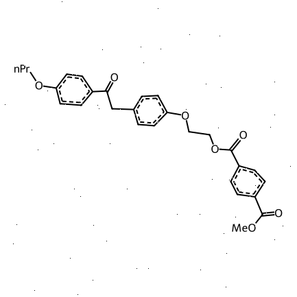 CCCOc1ccc(C(=O)Cc2ccc(OCCOC(=O)c3ccc(C(=O)OC)cc3)cc2)cc1